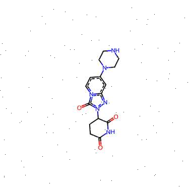 O=C1CCC(n2nc3cc(N4CCNCC4)ccn3c2=O)C(=O)N1